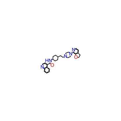 O=C(NC1CCC(CCN2CCN(c3nccc4c3OCC4)CC2)CC1)c1ccnc2ccccc12